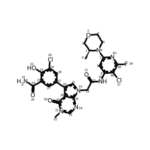 C[C@H]1COCCN1c1cc(NC(=O)Cn2cc(-c3cc(Cl)c(O)c(C(N)=O)c3)c3c(=O)n(C)cnc32)c(Cl)c(F)n1